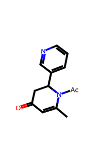 CC(=O)N1C(C)=CC(=O)CC1c1cccnc1